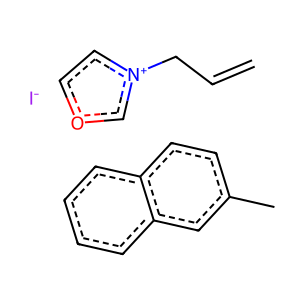 C=CC[n+]1ccoc1.Cc1ccc2ccccc2c1.[I-]